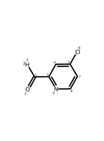 [2H]C(=O)c1cc(Cl)ccn1